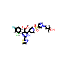 COC(=O)C1=C(C2CCN(S(=O)(=O)c3cnn(CCC(C)(C)O)c3)CC2)NC(c2nccs2)=N[C@@H]1c1ccc(F)cc1Cl